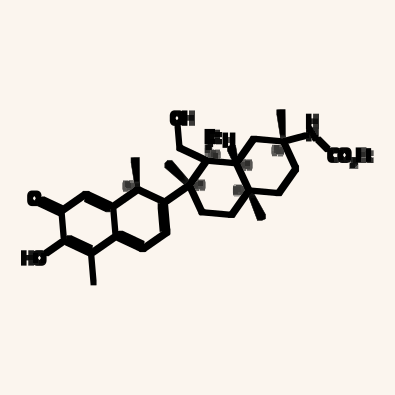 CCOC(=O)N[C@]1(C)CC[C@]2(C)CC[C@](C)(C3=CC=C4C(=CC(=O)C(O)=C4C)[C@H]3C)[C@@](CC)(CO)[C@@H]2C1